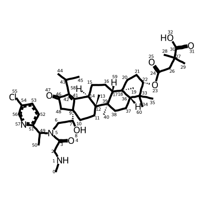 CNCC(=O)N(CC(O)[C@@]12CC[C@]3(C)[C@H](CC[C@@H]4[C@@]5(C)CC[C@H](OC(=O)CC(C)(C)C(=O)O)C(C)(C)[C@@H]5CC[C@]43C)C1=C(C(C)C)C(=O)C2)C(C)c1ccc(Cl)cn1